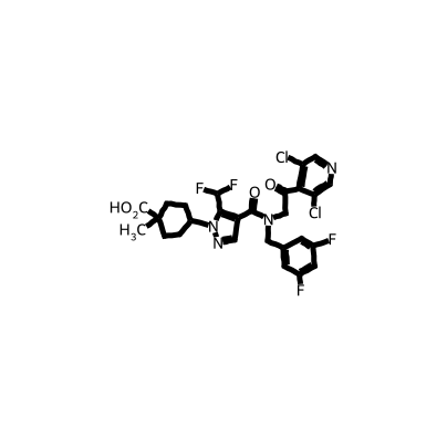 CC1(C(=O)O)CCC(n2ncc(C(=O)N(CC(=O)c3c(Cl)cncc3Cl)Cc3cc(F)cc(F)c3)c2C(F)F)CC1